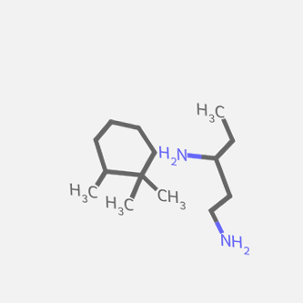 CC1CCCCC1(C)C.CCC(N)CCN